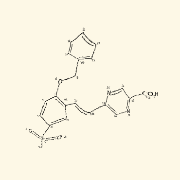 CS(=O)(=O)c1ccc(OCc2ccccc2)c(C=Cc2cnc(C(=O)O)cn2)c1